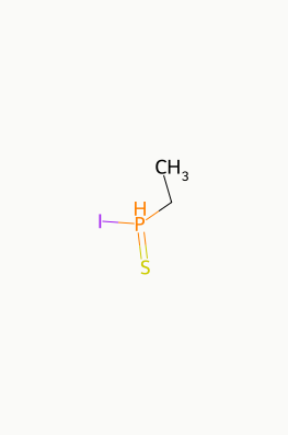 CC[PH](=S)I